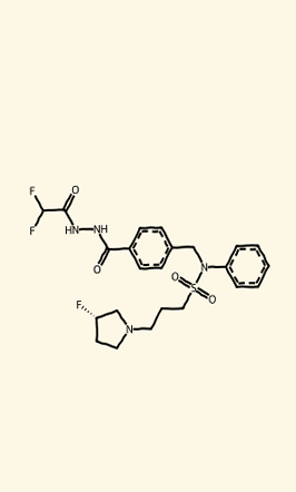 O=C(NNC(=O)C(F)F)c1ccc(CN(c2ccccc2)S(=O)(=O)CCCN2CC[C@H](F)C2)cc1